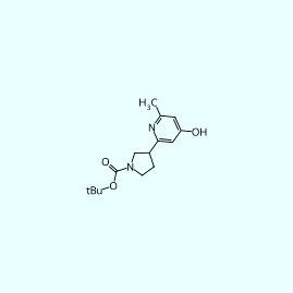 Cc1cc(O)cc(C2CCN(C(=O)OC(C)(C)C)C2)n1